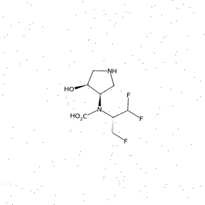 O=C(O)N([C@@H]1CNC[C@@H]1O)[C@@H](CF)C(F)F